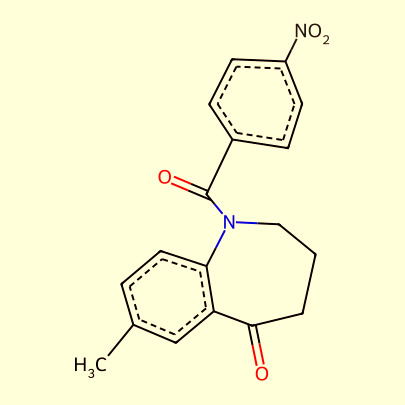 Cc1ccc2c(c1)C(=O)CCCN2C(=O)c1ccc([N+](=O)[O-])cc1